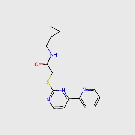 O=C(CSc1nccc(-c2ccccn2)n1)NCC1CC1